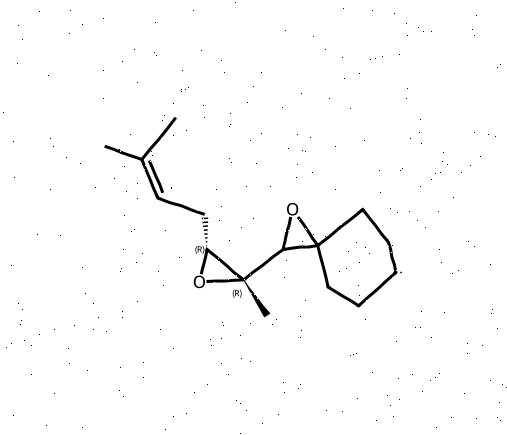 CC(C)=CC[C@H]1O[C@@]1(C)C1OC12CC[CH]CC2